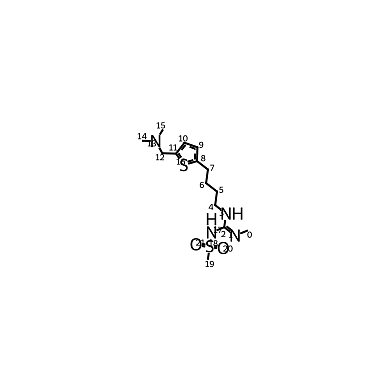 C/N=C(\NCCCCc1ccc(CN(C)C)s1)NS(C)(=O)=O